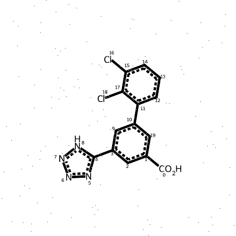 O=C(O)c1cc(-c2nnn[nH]2)cc(-c2cccc(Cl)c2Cl)c1